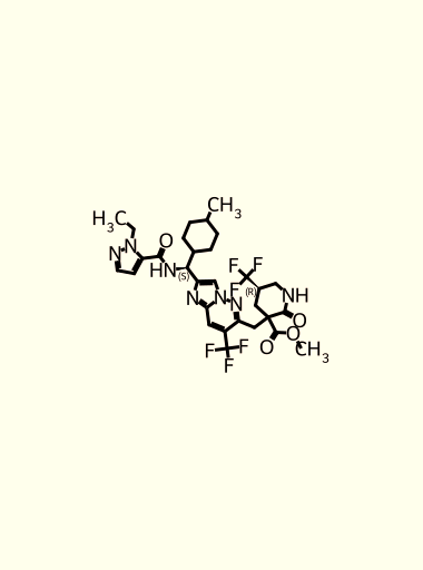 CCn1nccc1C(=O)N[C@H](c1cn2nc(CC3(C(=O)OC)C[C@@H](C(F)(F)F)CNC3=O)c(C(F)(F)F)cc2n1)C1CCC(C)CC1